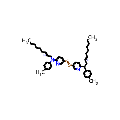 CCCCCC/C=C/CC(c1ccc(C)cc1)c1ccc(SSc2ccc(N(C/C=C/CCCCCC)c3ccc(C)cc3)nc2)cn1